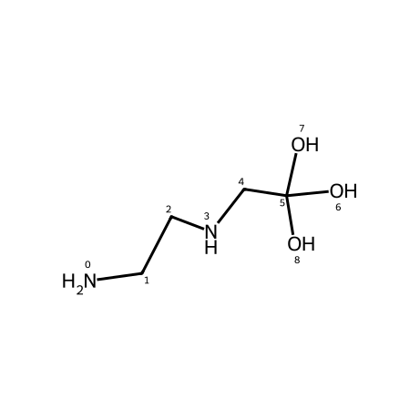 NCCNCC(O)(O)O